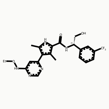 CCONc1cc(-c2c(C)[nH]c(C(=O)N[C@H](CO)c3cccc(C(F)(F)F)c3)c2C)ncn1